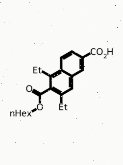 CCCCCCOC(=O)c1c(CC)cc2cc(C(=O)O)ccc2c1CC